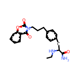 CCNC(Cc1ccc(CCCn2c(=O)oc3ccccc3c2=O)cc1)C(N)=O